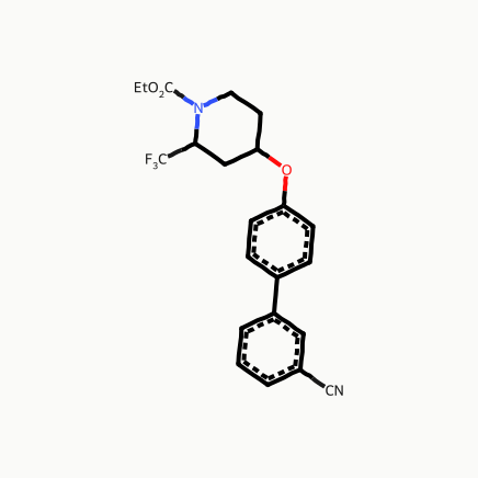 CCOC(=O)N1CCC(Oc2ccc(-c3cccc(C#N)c3)cc2)CC1C(F)(F)F